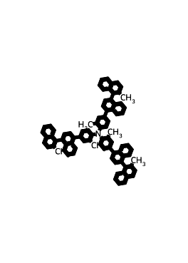 Cc1cc(-c2ccc(-c3c(C)ccc4ccccc34)c3ccccc23)ccc1N(c1ccc(-c2ccc(-c3c(C)ccc4ccccc34)c3ccccc23)cc1C)c1ccc(-c2ccc(-c3c(C)ccc4ccccc34)c3ccccc23)cc1C